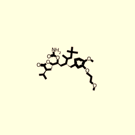 COCCCOc1cc(C[C@H](C[C@H](OC(N)=O)[C@@H]2C[C@@H](C(C)C)C(=O)O2)C(C)CC(C)(C)C)ccc1OC